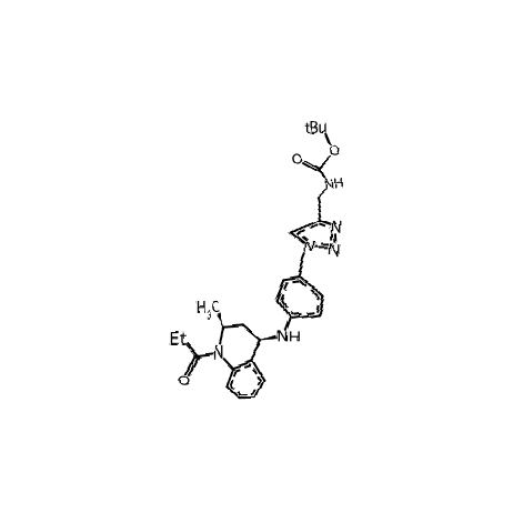 CCC(=O)N1c2ccccc2[C@H](Nc2ccc(-n3cc(CNC(=O)OC(C)(C)C)nn3)cc2)C[C@@H]1C